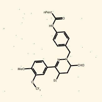 CCCCCC(=O)Nc1ccc(CN2N=C(c3ccc(OC)c(OC(F)(F)F)c3)C(CC)CC2C=O)cc1